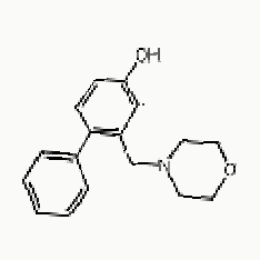 Oc1[c]c(CN2CCOCC2)c(-c2ccccc2)cc1